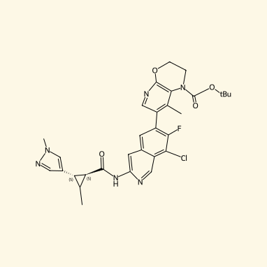 Cc1c(-c2cc3cc(NC(=O)[C@H]4C(C)[C@@H]4c4cnn(C)c4)ncc3c(Cl)c2F)cnc2c1N(C(=O)OC(C)(C)C)CCO2